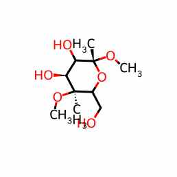 CO[C@]1(C)OC(CO)[C@@](C)(OC)[C@@H](O)C1O